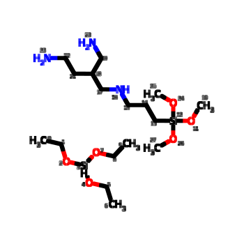 CCO[SiH](OCC)OCC.CO[Si](CCCNCC(CN)CCN)(OC)OC